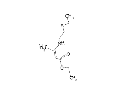 CCOC(=O)/C=C(/C)NCCSCC